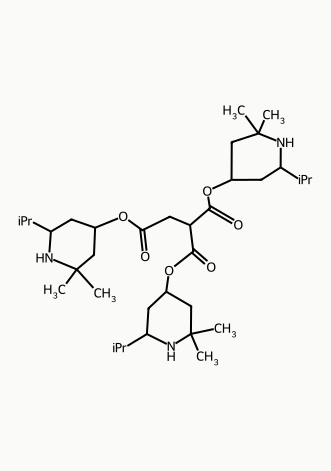 CC(C)C1CC(OC(=O)CC(C(=O)OC2CC(C(C)C)NC(C)(C)C2)C(=O)OC2CC(C(C)C)NC(C)(C)C2)CC(C)(C)N1